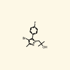 Cc1nn(CC(C)(C)O)c(-c2ccc(F)cc2)c1Br